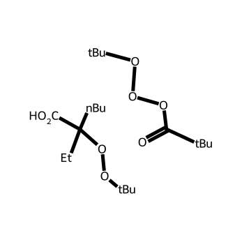 CC(C)(C)OOOC(=O)C(C)(C)C.CCCCC(CC)(OOC(C)(C)C)C(=O)O